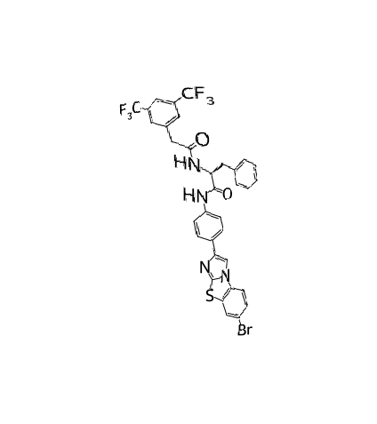 O=C(Cc1cc(C(F)(F)F)cc(C(F)(F)F)c1)N[C@@H](Cc1ccccc1)C(=O)Nc1ccc(-c2cn3c(n2)sc2cc(Br)ccc23)cc1